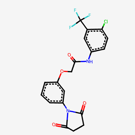 O=C(COc1cccc(N2C(=O)CCC2=O)c1)Nc1ccc(Cl)c(C(F)(F)F)c1